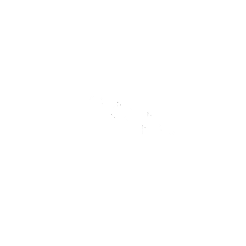 c1ccc(-c2nc3cc4nc(-c5ccccc5)[nH]c4cc3[nH]2)cc1